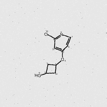 OC1CC(Oc2ccnc(Cl)c2)C1